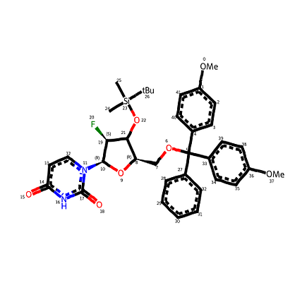 COc1ccc(C(OC[C@H]2O[C@@H](n3ccc(=O)[nH]c3=O)[C@@H](F)C2O[Si](C)(C)C(C)(C)C)(c2ccccc2)c2ccc(OC)cc2)cc1